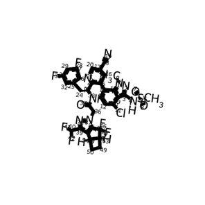 Cn1nc(NS(C)(=O)=O)c2c(Cl)ccc(-c3cc(C#N)cnc3[C@H](Cc3cc(F)cc(F)c3)NC(=O)Cn3nc(C(F)F)c4c3C(F)(F)[C@@H]3CC[C@H]43)c21